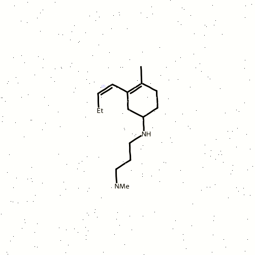 CC/C=C\C1=C(C)CCC(NCCCNC)C1